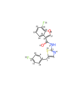 O=C(Nc1ncc(Cc2ccc(F)cc2)s1)c1coc2c(F)cccc12